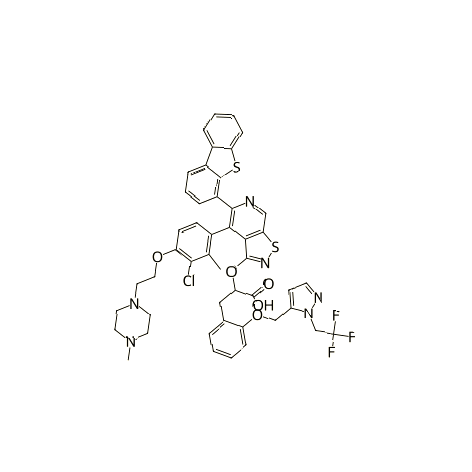 Cc1c(-c2c(-c3cccc4c3sc3ccccc34)ncc3snc(OC(Cc4ccccc4OCc4ccnn4CC(F)(F)F)C(=O)O)c23)ccc(OCCN2CCN(C)CC2)c1Cl